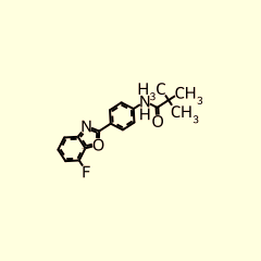 CC(C)(C)C(=O)Nc1ccc(-c2nc3cccc(F)c3o2)cc1